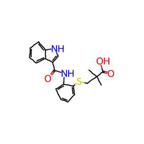 CC(C)(CSc1ccccc1NC(=O)c1c[nH]c2ccccc12)C(=O)O